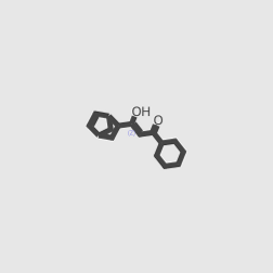 O=C(/C=C(\O)C1CC2C=CC1C2)C1CCCCC1